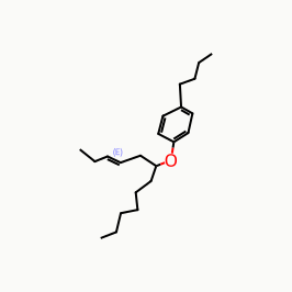 CC/C=C/CC(CCCCCC)Oc1ccc(CCCC)cc1